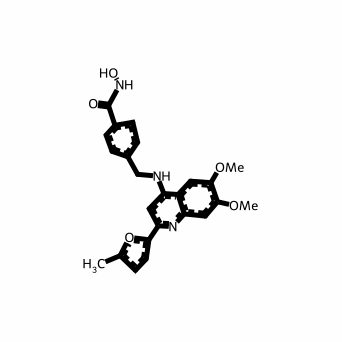 COc1cc2nc(-c3ccc(C)o3)cc(NCc3ccc(C(=O)NO)cc3)c2cc1OC